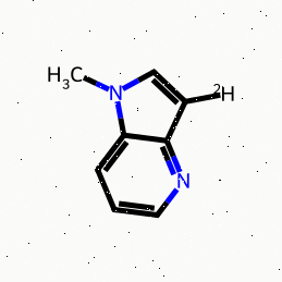 [2H]c1cn(C)c2cccnc12